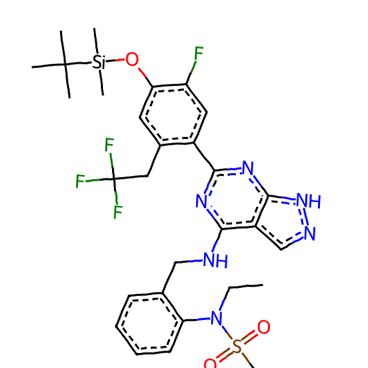 CCN(c1ccccc1CNc1nc(-c2cc(F)c(O[Si](C)(C)C(C)(C)C)cc2CC(F)(F)F)nc2[nH]ncc12)S(C)(=O)=O